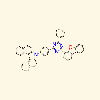 c1ccc(-c2nc(-c3ccc(-n4c5ccc6ccccc6c5c5c6ccccc6ccc54)cc3)nc(-c3cccc4c3oc3ccccc34)n2)cc1